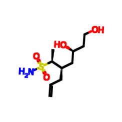 C=CC[C@H](C[C@@H](O)CCO)[C@H](C)S(N)(=O)=O